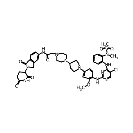 COc1cc(N2CCC(N3CCN(CC(=O)Nc4ccc5c(c4)CN(C4CCC(=O)NC4=O)C5=O)CC3)CC2)ccc1Nc1ncc(Cl)c(Nc2ccccc2N(C)S(C)(=O)=O)n1